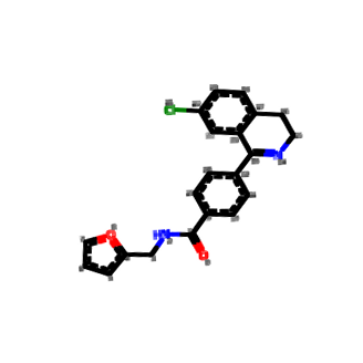 O=C(NCc1ccco1)c1ccc(C2=NCCc3ccc(Cl)cc32)cc1